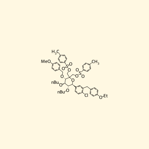 CCCCO[C@@H]1[C@@H](OCCCC)[C@H](OCc2ccc(OC)cc2)C(COS(=O)(=O)c2ccc(C)cc2)(COS(=O)(=O)c2ccc(C)cc2)O[C@H]1c1ccc(Cl)c(Cc2ccc(OCC)cc2)c1